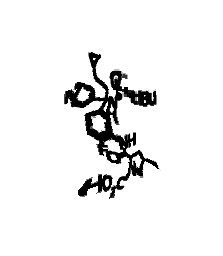 C[C@@H]1C[C@H](C(=O)Nc2cc(C(CCC3CC3)(N[S@+]([O-])C(C)(C)C)c3ccncc3)ccc2F)N(C(=O)O)C1